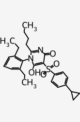 CCCCc1nc(=O)c(S(=O)(=O)c2ccc(C3CC3)cc2)c(O)n1-c1c(CC)cccc1CC